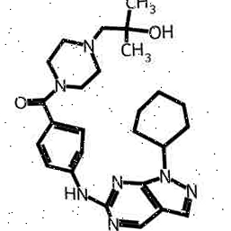 CC(C)(O)CN1CCN(C(=O)c2ccc(Nc3ncc4cnn(C5CCCCC5)c4n3)cc2)CC1